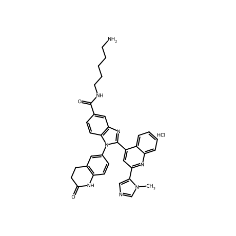 Cl.Cn1cncc1-c1cc(-c2nc3cc(C(=O)NCCCCCN)ccc3n2-c2ccc3c(c2)CCC(=O)N3)c2ccccc2n1